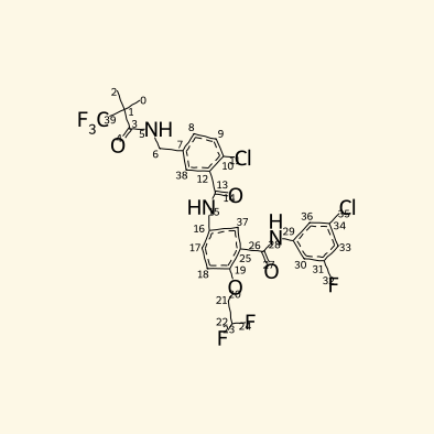 CC(C)(C(=O)NCc1ccc(Cl)c(C(=O)Nc2ccc(OCC(F)F)c(C(=O)Nc3cc(F)cc(Cl)c3)c2)c1)C(F)(F)F